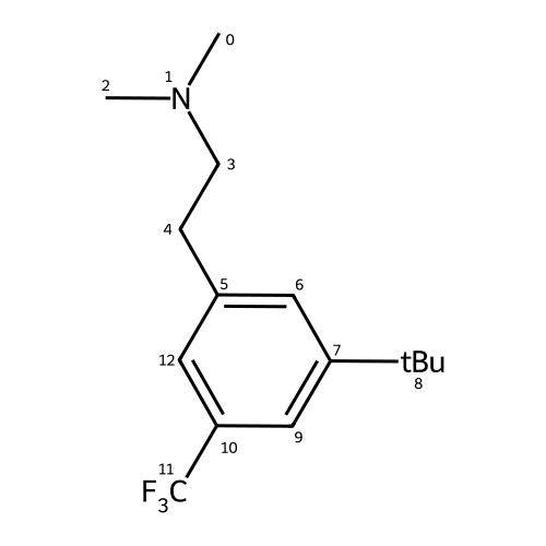 CN(C)CCc1cc(C(C)(C)C)cc(C(F)(F)F)c1